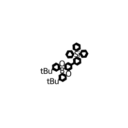 CC(C)(C)c1ccc2c(c1)B1c3cc(C(C)(C)C)ccc3Oc3cc(-c4cccc([Si](c5ccccc5)(c5ccccc5)c5ccccc5)c4)cc(c31)O2